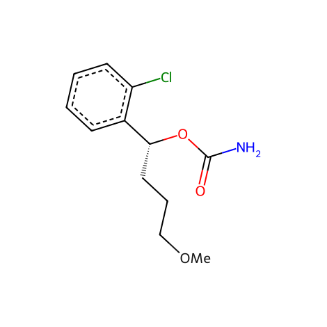 COCCC[C@@H](OC(N)=O)c1ccccc1Cl